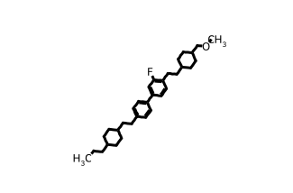 CCCC1CCC(CCc2ccc(-c3ccc(CCC4CCC(COC)CC4)c(F)c3)cc2)CC1